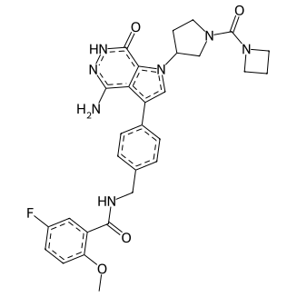 COc1ccc(F)cc1C(=O)NCc1ccc(-c2cn(C3CCN(C(=O)N4CCC4)C3)c3c(=O)[nH]nc(N)c23)cc1